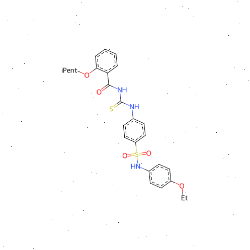 CCCC(C)Oc1ccccc1C(=O)NC(=S)Nc1ccc(S(=O)(=O)Nc2ccc(OCC)cc2)cc1